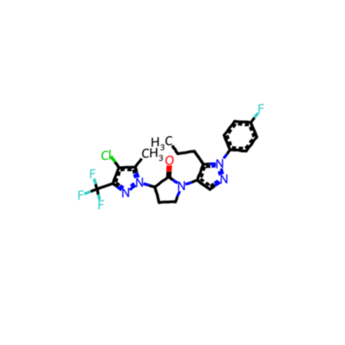 CCCc1c(N2CCC(n3nc(C(F)(F)F)c(Cl)c3C)C2=O)cnn1-c1ccc(F)cc1